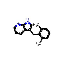 Cc1cccc(C(F)(F)F)c1Cc1c[nH]c2ncccc12